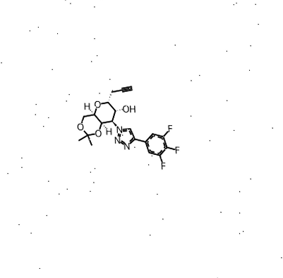 C#CC[C@H]1O[C@@H]2COC(C)(C)O[C@@H]2[C@H](n2cc(-c3cc(F)c(F)c(F)c3)nn2)[C@H]1O